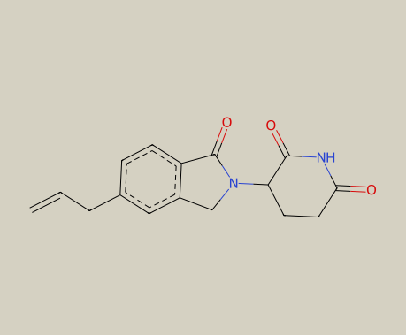 C=CCc1ccc2c(c1)CN(C1CCC(=O)NC1=O)C2=O